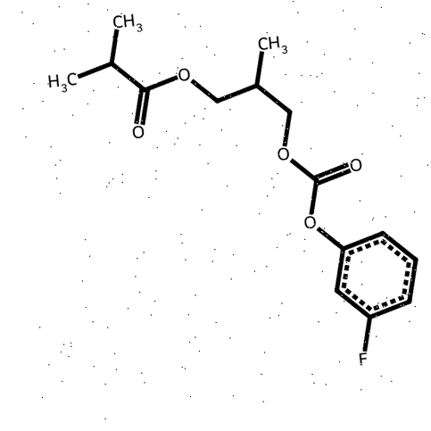 CC(COC(=O)Oc1cccc(F)c1)COC(=O)C(C)C